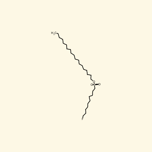 CCCCCCCCCCCCCCCCCCCOS(=O)(=O)CCCCCCCCCCF